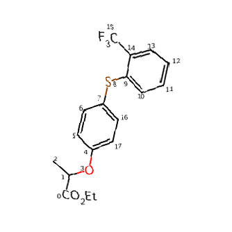 CCOC(=O)C(C)Oc1ccc(Sc2ccccc2C(F)(F)F)cc1